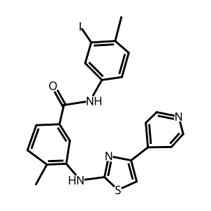 Cc1ccc(NC(=O)c2ccc(C)c(Nc3nc(-c4ccncc4)cs3)c2)cc1I